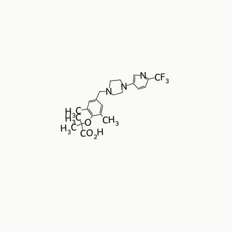 Cc1cc(CN2CCN(c3ccc(C(F)(F)F)nc3)CC2)cc(C)c1OC(C)(C)C(=O)O